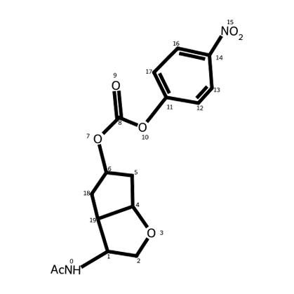 CC(=O)NC1COC2CC(OC(=O)Oc3ccc([N+](=O)[O-])cc3)CC12